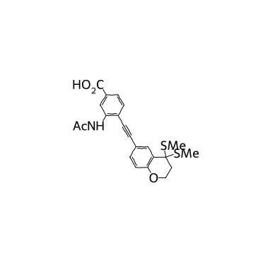 CSC1(SC)CCOc2ccc(C#Cc3ccc(C(=O)O)cc3NC(C)=O)cc21